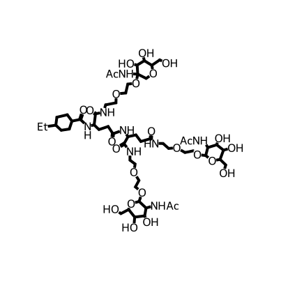 CCC1CCC(C(=O)NC(CCC(=O)NC(CCC(=O)NCCOCCOC2OC(CO)C(O)C(O)C2NC(C)=O)C(=O)NCCOCCOC2OC(CO)C(O)C(O)C2NC(C)=O)C(=O)NCCOCCOC2(NC(C)=O)COC(CO)C(O)C2O)CC1